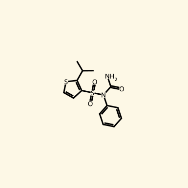 CC(C)c1sccc1S(=O)(=O)N(C(N)=O)c1ccccc1